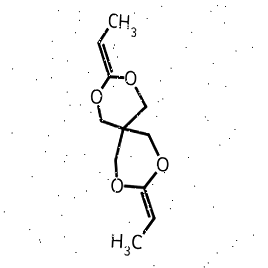 CC=C1OCC2(CO1)COC(=CC)OC2